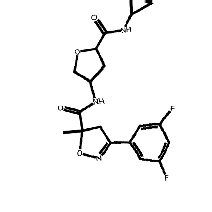 CC1(C(=O)NC2COC(C(=O)NC3CC3)C2)CC(c2cc(F)cc(F)c2)=NO1